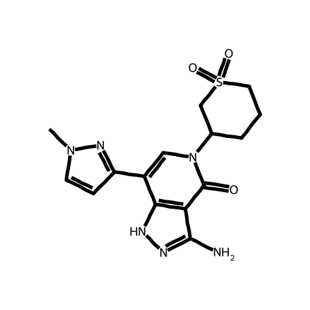 Cn1ccc(-c2cn(C3CCCS(=O)(=O)C3)c(=O)c3c(N)n[nH]c23)n1